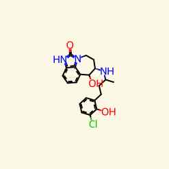 CC(CCc1cccc(Cl)c1O)N[C@@H]1CCn2c(=O)[nH]c3cccc(c32)C1O